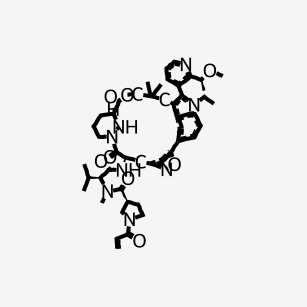 C=CC(=O)N1CC[C@H](C(=O)N(C)[C@H](C(=O)N[C@H]2Cc3cc(on3)-c3ccc4c(c3)c(c(-c3cccnc3[C@H](C)OC)n4CC)CC(C)(C)COC(=O)[C@@H]3CCCN(N3)C2=O)C(C)C)C1